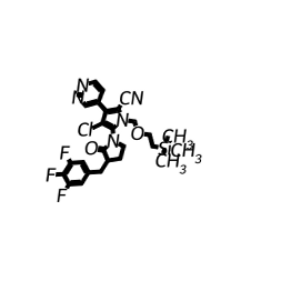 C[Si](C)(C)CCOCn1c(C#N)c(-c2ccnnc2)c(Cl)c1N1CCC(Cc2cc(F)c(F)c(F)c2)C1=O